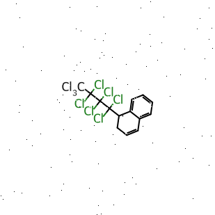 ClC(Cl)(Cl)C(Cl)(Cl)C(Cl)(Cl)C(Cl)(Cl)[C]1CC=Cc2ccccc21